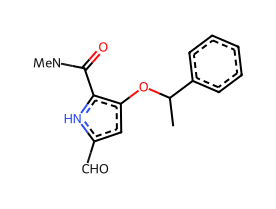 CNC(=O)c1[nH]c(C=O)cc1OC(C)c1ccccc1